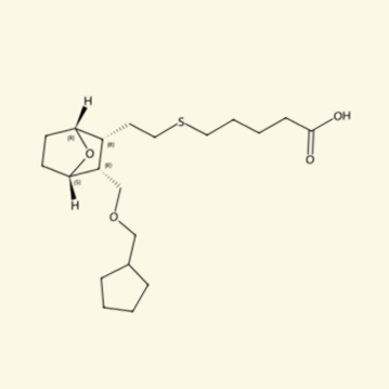 O=C(O)CCCCSCC[C@@H]1[C@H](COCC2CCCC2)[C@@H]2CC[C@H]1O2